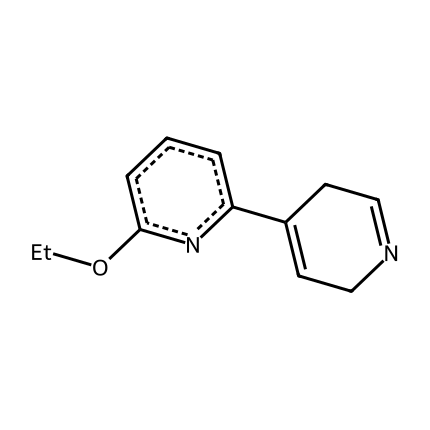 CCOc1cccc(C2=CCN=CC2)n1